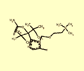 CC(C)(C)C(OC(N)=O)(c1ncc(I)n1COCC[Si](C)(C)C)C(C)(C)C